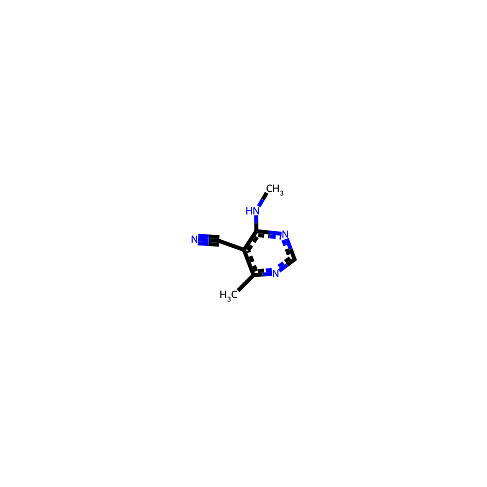 CNc1ncnc(C)c1C#N